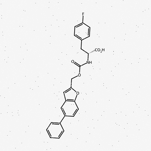 O=C(N[C@H](Cc1ccc(F)cc1)C(=O)O)OCc1cc2cc(-c3ccccc3)ccc2o1